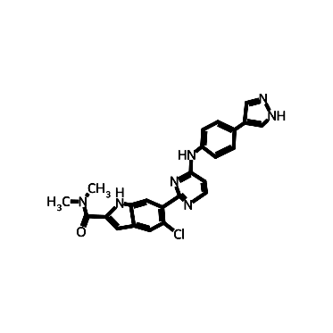 CN(C)C(=O)c1cc2cc(Cl)c(-c3nccc(Nc4ccc(-c5cn[nH]c5)cc4)n3)cc2[nH]1